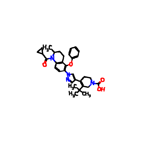 CC1CCc2c(ccc(-n3cc(C4=C(C(C)(C)C)CN(C(=O)O)CC4)cn3)c2Oc2ccccc2)N1C(=O)C1CC1